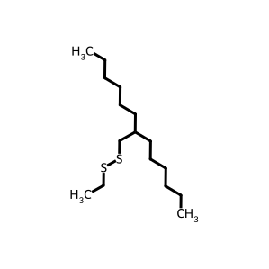 CCCCCCC(CCCCCC)CSSCC